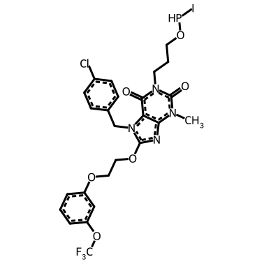 Cn1c(=O)n(CCCOPI)c(=O)c2c1nc(OCCOc1cccc(OC(F)(F)F)c1)n2Cc1ccc(Cl)cc1